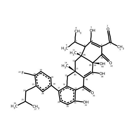 CC(=O)C1=C(O)C(C(C)C)[C@@]2(C)C[C@@]3(C)Cc4c(-c5ccc(F)c(CC(C)C)c5)ccc(O)c4C(=O)C3=C(O)[C@@]2(O)C1=O